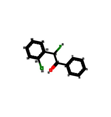 O=C(c1ccccc1)C(F)c1ccccc1Cl